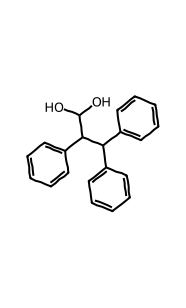 OC(O)C(c1ccccc1)C(c1ccccc1)c1ccccc1